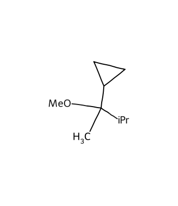 COC(C)(C(C)C)C1CC1